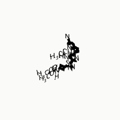 CC(C)Nc1cc(-c2ccc3cc(C#N)cnn23)ncc1-c1nnc(C2CC(NC(=O)OC(C)(C)C)C2)s1